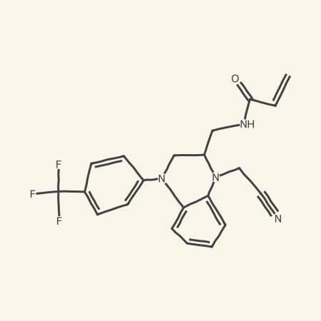 C=CC(=O)NCC1CN(c2ccc(C(F)(F)F)cc2)c2ccccc2N1CC#N